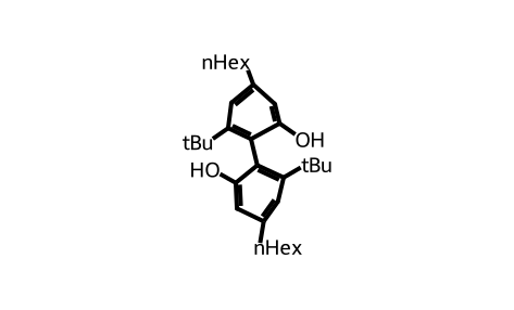 CCCCCCc1cc(O)c(-c2c(O)cc(CCCCCC)cc2C(C)(C)C)c(C(C)(C)C)c1